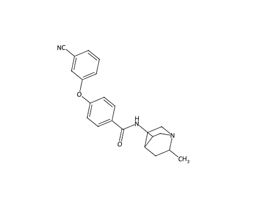 CC1CC2CCN1CC2NC(=O)c1ccc(Oc2cccc(C#N)c2)cc1